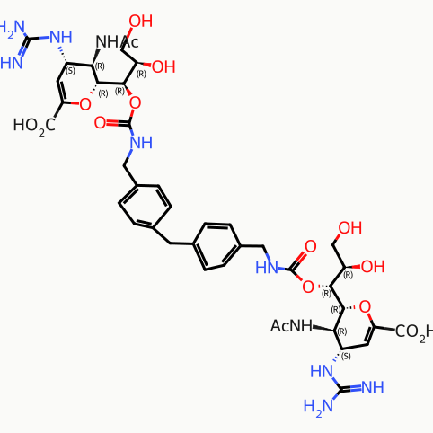 CC(=O)N[C@H]1[C@H]([C@H](OC(=O)NCc2ccc(Cc3ccc(CNC(=O)O[C@@H]([C@@H]4OC(C(=O)O)=C[C@H](NC(=N)N)[C@H]4NC(C)=O)[C@H](O)CO)cc3)cc2)[C@H](O)CO)OC(C(=O)O)=C[C@@H]1NC(=N)N